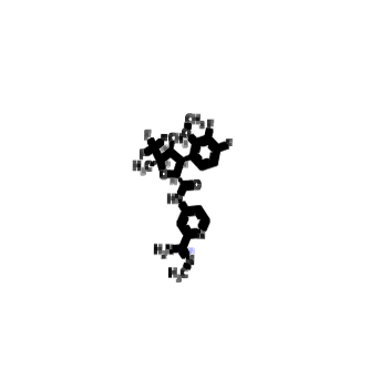 C/N=C(\N)c1cc(NC(=O)[C@@H]2O[C@@](C)(C(F)(F)F)[C@@H](C)[C@H]2c2ccc(F)c(F)c2OC)ccn1